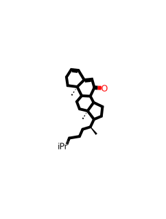 CC(C)CCC[C@H](C)C1CCC2C3C(=O)C=C4C=CCC[C@]4(C)C3CC[C@@]21C